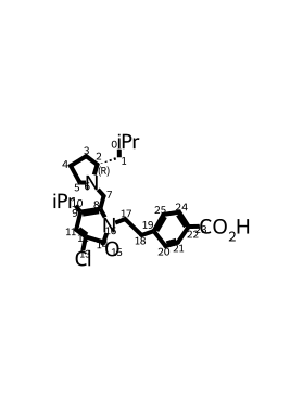 CC(C)C[C@H]1CCCN1Cc1c(C(C)C)cc(Cl)c(=O)n1CCc1ccc(C(=O)O)cc1